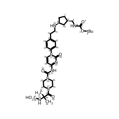 CC(C)(C)OC(=O)NC[C@@H]1CC[C@H](NCCc2ccc(-n3ccc(NC(=O)N4CCN(C(=O)C(C)(C)NC(=O)O)CC4)nc3=O)cc2)C1